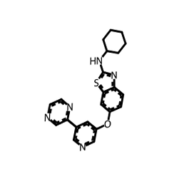 c1cnc(-c2cncc(Oc3ccc4nc(NC5CCCCC5)sc4c3)c2)cn1